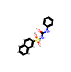 O=C(Nc1ccccc1)NS(=O)(=O)c1ccc2ccccc2c1